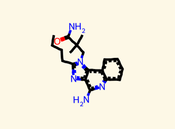 CCCCc1nc2c(N)nc3ccccc3c2n1CC(C)(C)C(N)=O